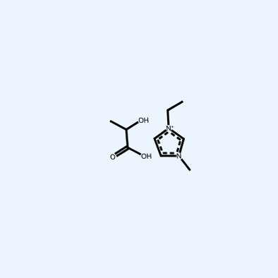 CC(O)C(=O)O.CC[n+]1ccn(C)c1